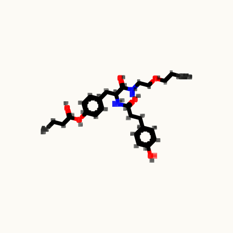 COCCOCCNC(=O)C(Cc1ccc(OC(=O)CCC(C)=O)cc1)NC(=O)CCc1ccc(O)cc1